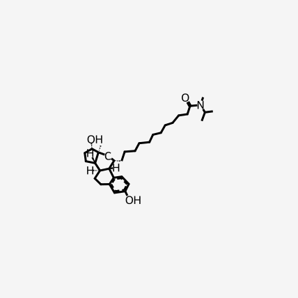 CC(C)N(C)C(=O)CCCCCCCCCCC[C@H]1C[C@]2(C)[C@@H](O)CC[C@H]2[C@@H]2CCc3cc(O)ccc3[C@@H]12